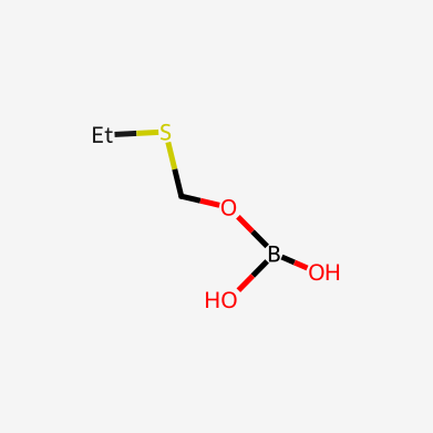 CCSCOB(O)O